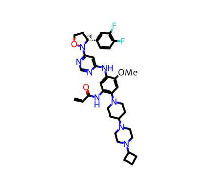 C=CC(=O)Nc1cc(Nc2cc(N3OCC[C@@H]3c3ccc(F)c(F)c3)ncn2)c(OC)cc1N1CCC(N2CCN(C3CCC3)CC2)CC1